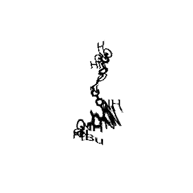 Cc1cc(-c2ncnc3c2C2C=CC(C4CCN(CCCOc5ccc(NC6CCC(=O)NC6=O)cc5)CC4)=CC2N3)ccc1CNC(=O)c1nc(C(C)(C)C)no1